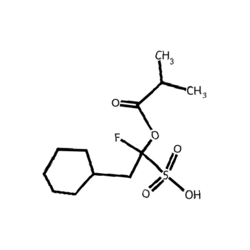 CC(C)C(=O)OC(F)(CC1CCCCC1)S(=O)(=O)O